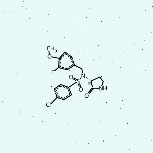 COc1ccc(CN([C@@H]2CCNC2=O)S(=O)(=O)c2ccc(Cl)cc2)cc1F